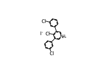 C[n+]1cc(-c2cccc(Cl)c2)c(Cl)c(-c2cccc(Cl)c2)c1.[I-]